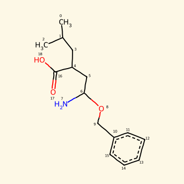 CC(C)CC(CC(N)OCc1ccccc1)C(=O)O